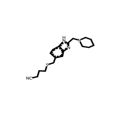 N#CCCCSCc1ccc2[nH]c(CN3CCCCC3)nc2c1